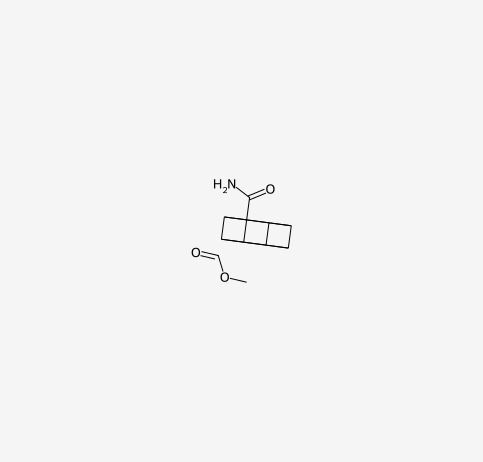 COC=O.NC(=O)C12C3C4C5C3C1C5C42